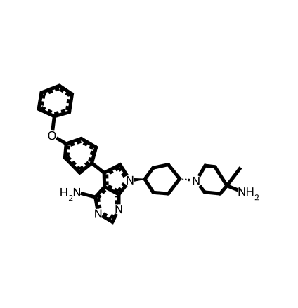 CC1(N)CCN([C@H]2CC[C@H](n3cc(-c4ccc(Oc5ccccc5)cc4)c4c(N)ncnc43)CC2)CC1